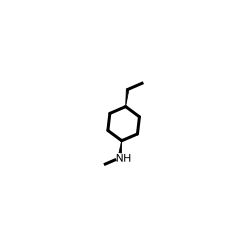 CC[C@H]1CC[C@@H](NC)CC1